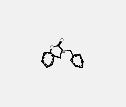 O=C1Oc2ccccc2C[C@@H]1Cc1ccccc1